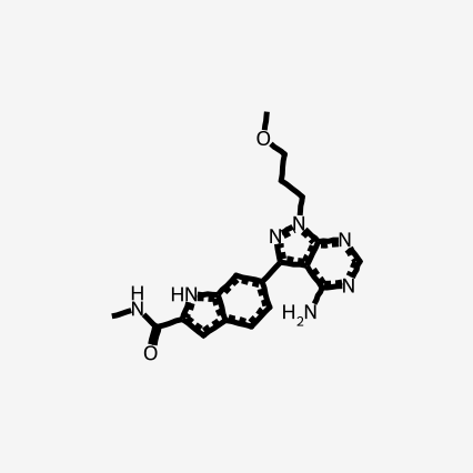 CNC(=O)c1cc2ccc(-c3nn(CCCOC)c4ncnc(N)c34)cc2[nH]1